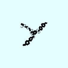 C=CC(=O)OCCOCCOC(=O)c1cc(OC(=O)C2CCC(C3CCC(CC)CC3)CC2)ccc1OC(=O)C1CCC(C2CCC(CCC)CC2)CC1